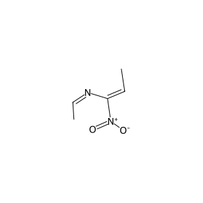 C/C=N\C(=C/C)[N+](=O)[O-]